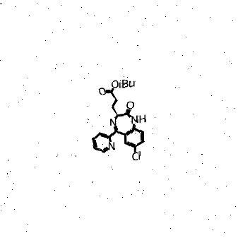 CC(C)COC(=O)CC[C@@H]1N=C(c2ccccn2)c2cc(Cl)ccc2NC1=O